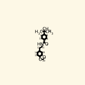 CC(C)(C)c1ccc(C(=O)NCCc2ccc3c(c2)OCO3)cc1